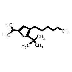 CCCCCCc1cc(C(C)C)sc1C(C)(C)C